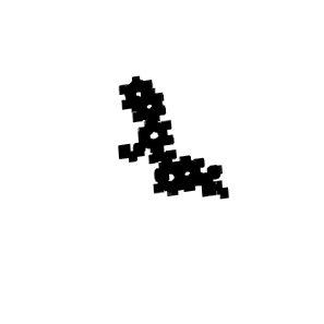 C[C@@H]1C[C@@H](c2ccc3ccccc3c2)CCN1CCC1OCCc2cc(C(N)=O)ccc21